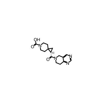 O=C(O)N1CCC2(CC1)C[C@@H]2C(=O)N1CCc2ncncc2C1